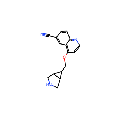 N#Cc1ccc2nccc(OCC3C4CNCC43)c2c1